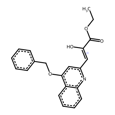 CCOC(=O)/C(O)=C/c1cc(OCc2ccccc2)c2ccccc2n1